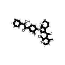 Cc1ccnc(Cl)c1C(=O)c1cn(-c2ccc(C(=O)C(O)c3ccccc3)cc2F)c2c1CCCO2